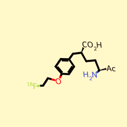 CC(=O)[C@@H](N)CC[C@@H](Cc1ccc(OCC[18F])cc1)C(=O)O